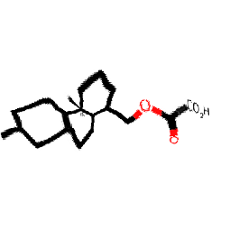 CC1CCC2C(CCC3C(COC(=O)C(=O)O)CCC[C@]32C)C1